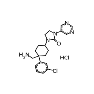 Cl.NCC1(c2cccc(Cl)c2)CCC(N2CCN(c3cncnc3)C2=O)CC1